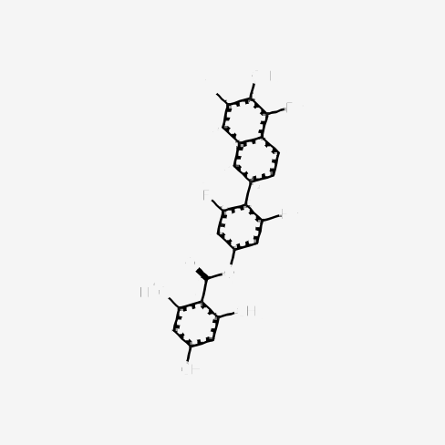 Cc1cc(C)c(C(=O)Oc2cc(F)c(-c3ccc4c(F)c(C)c(F)cc4c3)c(F)c2)c(C)c1